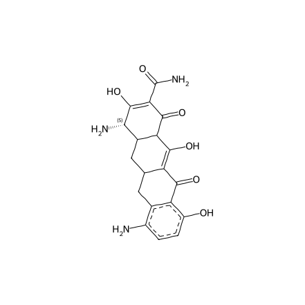 NC(=O)C1=C(O)[C@@H](N)C2CC3Cc4c(N)ccc(O)c4C(=O)C3=C(O)C2C1=O